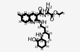 CCOC(=O)C(N)NC(=O)c1cc2cc(C)ccc2nc1NCCC(CC)NC1CCCCC1O